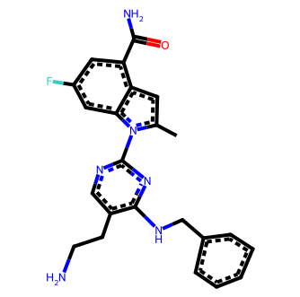 Cc1cc2c(C(N)=O)cc(F)cc2n1-c1ncc(CCN)c(NCc2ccccc2)n1